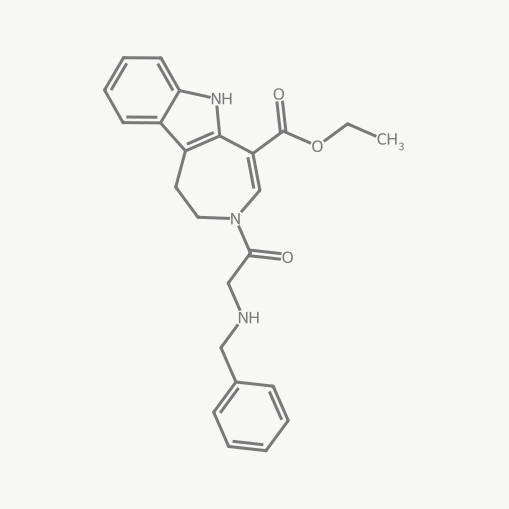 CCOC(=O)C1=CN(C(=O)CNCc2ccccc2)CCc2c1[nH]c1ccccc21